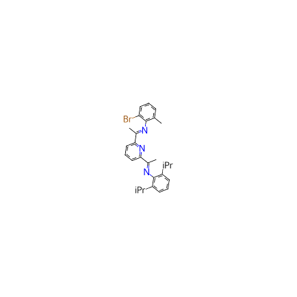 C/C(=N\c1c(C)cccc1Br)c1cccc(/C(C)=N/c2c(C(C)C)cccc2C(C)C)n1